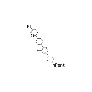 CCCCCC1CCC(c2ccc(C3CCC(C4CCC(CC)=CO4)CC3)c(F)c2)CC1